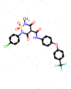 CN1C(=O)C(C(=O)Nc2ccc(Oc3ccc(C(F)(F)F)cc3)cc2)C(=O)N(c2ccc(Cl)cc2)S1(=O)=O